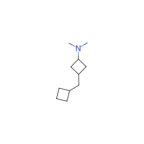 CN(C)C1CC(CC2CCC2)C1